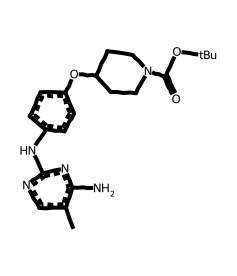 Cc1cnc(Nc2ccc(OC3CCN(C(=O)OC(C)(C)C)CC3)cc2)nc1N